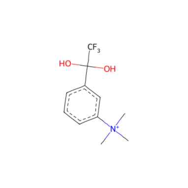 C[N+](C)(C)c1cccc(C(O)(O)C(F)(F)F)c1